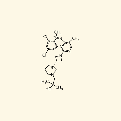 Cc1cnc(N2CC([C@H]3CCCN(CC(C)(C)O)C3)C2)nc1N[C@H](C)c1ccc(Cl)cc1Cl